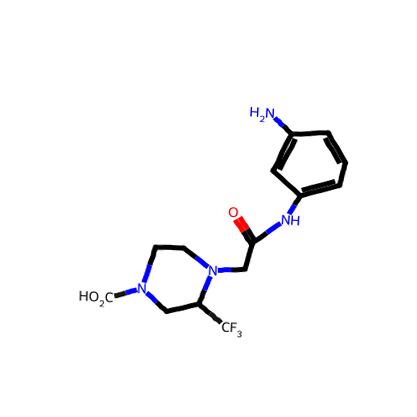 Nc1cccc(NC(=O)CN2CCN(C(=O)O)CC2C(F)(F)F)c1